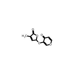 CC1=CC(Oc2coccc2=O)OC1=O